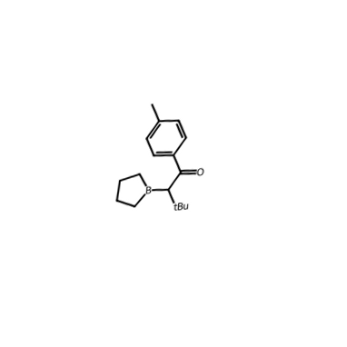 Cc1ccc(C(=O)C(B2CCCC2)C(C)(C)C)cc1